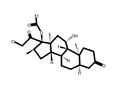 CCC(=O)O[C@]1(C(=O)CCl)[C@H](C)C[C@H]2[C@@H]3CC[C@@H]4CC(=O)CC[C@]4(C)[C@@]3(F)[C@@H](O)C[C@@]21C